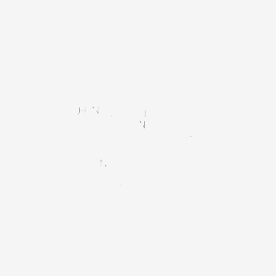 NC(=O)c1cnc(Cl)cc1NC1CCOc2ccccc21